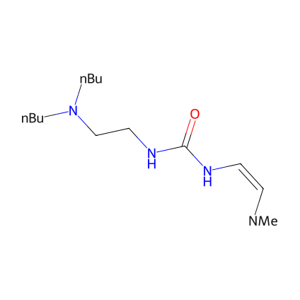 CCCCN(CCCC)CCNC(=O)N/C=C\NC